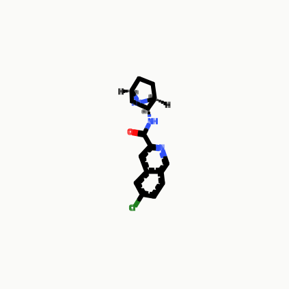 O=C(N[C@@H]1C[C@H]2CC[C@@H]1N2)c1cc2cc(Cl)ccc2cn1